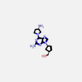 Nc1nc(N2CC[C@H](N)C2)c2ncn([C@H]3C=C[C@@H](CO)C3)c2n1